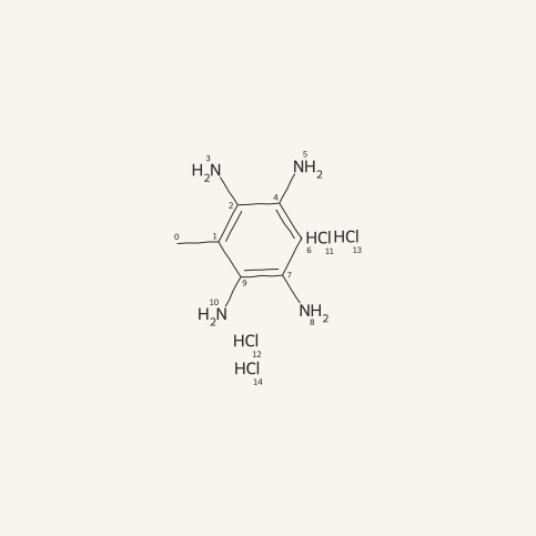 Cc1c(N)c(N)cc(N)c1N.Cl.Cl.Cl.Cl